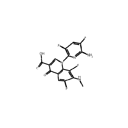 CNc1c(F)cc2c(=O)c(C(=O)O)cn(-c3nc(N)c(F)cc3F)c2c1F